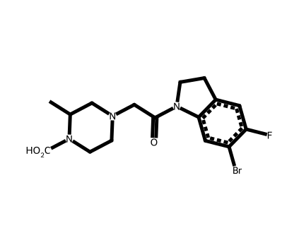 CC1CN(CC(=O)N2CCc3cc(F)c(Br)cc32)CCN1C(=O)O